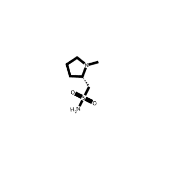 CN1CCC[C@H]1CS(N)(=O)=O